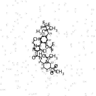 CCn1nc(C(=O)NCC2CCC(S(C)(=O)=O)CN2C(C)=O)c(Cl)c1-c1ccc(CC(C)(C)C(F)(F)F)cc1OC(F)F